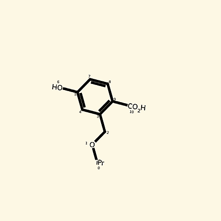 CC(C)OCc1cc(O)ccc1C(=O)O